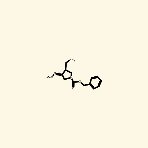 CO/N=C1\CN(C(=O)OCc2ccccc2)CC1CN